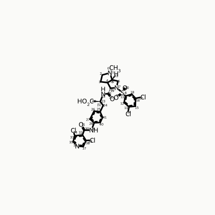 CN1CCC2[C@H]1CN(S(=O)(=O)c1cc(Cl)cc(Cl)c1)[C@@H]2C(=O)N[C@@H](Cc1ccc(NC(=O)c2c(Cl)cncc2Cl)cc1)C(=O)O